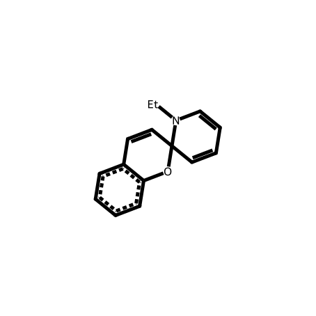 CCN1C=CC=CC12C=Cc1ccccc1O2